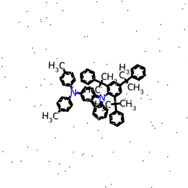 Cc1ccc(N(c2ccc(C)cc2)c2ccc3c(c2)c2ccccc2n3-c2c(C(C)(C)c3ccccc3)cc(C(C)(C)c3ccccc3)cc2C(C)(C)c2ccccc2)cc1